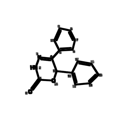 O=C1NN=C(c2ccccc2)C(c2ccccc2)O1